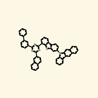 c1ccc(-c2cccc(-c3nc(-c4ccc5ccccc5c4)nc(-c4cccc5c4sc4cc(-n6c7ccccc7c7cc8ccccc8cc76)ccc45)n3)c2)cc1